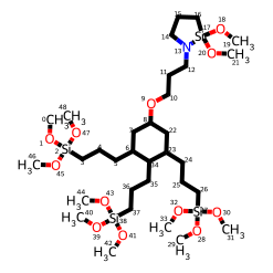 CO[Si](CCCC1CC(OCCCN2CCC[Si]2(OC)OC)CC(CCC[Si](OC)(OC)OC)C1CCC[Si](OC)(OC)OC)(OC)OC